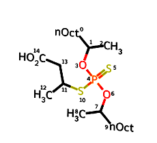 CCCCCCCCC(C)OP(=S)(OC(C)CCCCCCCC)SC(C)CC(=O)O